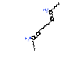 CCCCCCCc1cc(Cc2ccc(CCCCCCCCCCc3ccc(Cc4ccc(N)c(CCCCCCC)c4)cc3)cc2)ccc1N